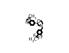 Cn1cnc2ccc([C@@H]3CN(Cc4ccc(C(C)(F)F)c(F)c4)CCO3)cc21